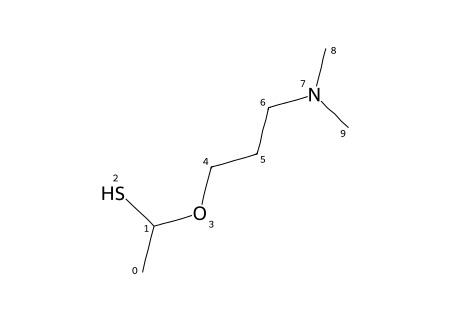 CC(S)OCCCN(C)C